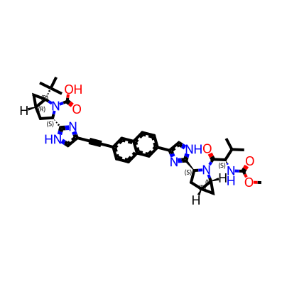 COC(=O)N[C@H](C(=O)N1[C@@H]2C[C@@H]2C[C@H]1c1nc(-c2ccc3cc(C#Cc4c[nH]c([C@@H]5C[C@@H]6C[C@@]6(C(C)(C)C)N5C(=O)O)n4)ccc3c2)c[nH]1)C(C)C